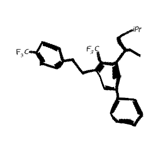 CC(C)CC(C)c1cc(-c2ccccc2)cc(CCc2ccc(C(F)(F)F)cc2)c1C(F)(F)F